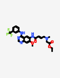 CCOC(=O)CN(C)CC=CC(=O)Nc1cc2c(Nc3cccc(C(F)(F)F)c3)ncnc2cc1OC